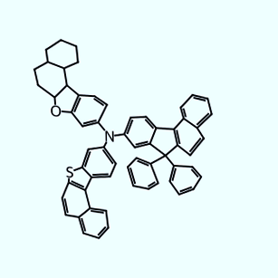 c1ccc(C2(c3ccccc3)c3cc(N(c4ccc5c(c4)OC4CCC6CCCCC6C54)c4ccc5c(c4)sc4ccc6ccccc6c45)ccc3-c3c2ccc2ccccc32)cc1